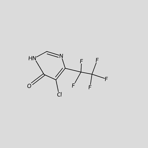 O=c1[nH]cnc(C(F)(F)C(F)(F)F)c1Cl